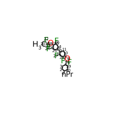 CCCc1ccc(C(F)(F)Oc2ccc(-c3cc(F)c(OC(C)(F)F)c(F)c3)c(F)c2)cc1